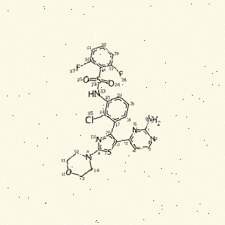 Nc1nccc(-c2sc(N3CCOCC3)nc2-c2cccc(NS(=O)(=O)c3c(F)cccc3F)c2Cl)n1